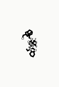 CCS(CC)(OS(=O)(=O)C(C(=O)OCC12CC3CC(CC(CCl)(C3)C1)C2)(C(F)(F)F)C(F)(F)F)C1CCCCC1=O